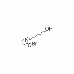 C[N+]1(CCCCCCCO)CCCC1=O.[Br-]